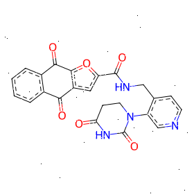 O=C1CCN(c2cnccc2CNC(=O)c2cc3c(o2)C(=O)c2ccccc2C3=O)C(=O)N1